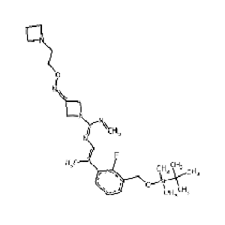 C=N/C(=N\C=C(/C)c1cccc(CO[Si](C)(C)C(C)(C)C)c1F)N1CC(=NOCCN2CCC2)C1